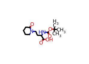 CC(C)(C)OC(=O)NC(CCN1CCCCC1=O)C(=O)O